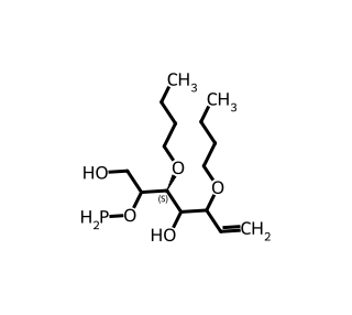 C=CC(OCCCC)C(O)[C@H](OCCCC)C(CO)OP